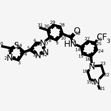 Cc1ncc(-c2cn(-c3cc(C(=O)Nc4cc(N5CCN(C)CC5)cc(C(F)(F)F)c4)ccc3C)nn2)s1